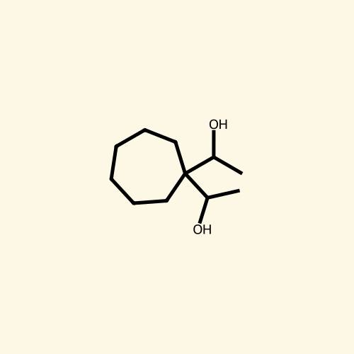 CC(O)C1(C(C)O)CCCCCC1